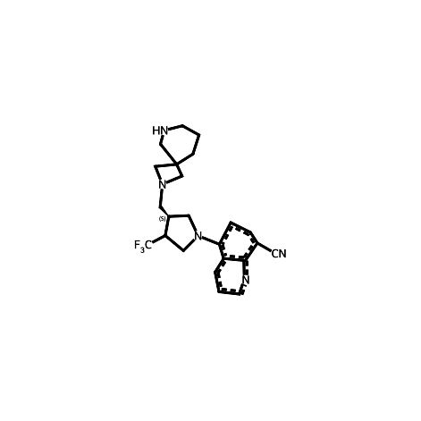 N#Cc1ccc(N2CC(C(F)(F)F)[C@@H](CN3CC4(CCCNC4)C3)C2)c2cccnc12